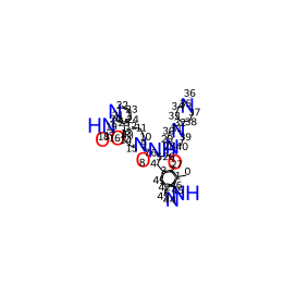 Cc1cc(CC(NC(=O)N2CCC[C@]3(CC2)OC(=O)Nc2ncccc23)C(=O)N2CCN(C3CCN(C)CC3)CC2)cc2cn[nH]c12